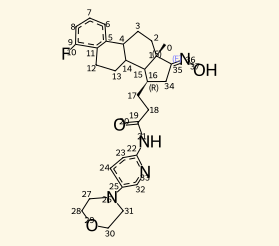 C[C@]12CCC3c4cccc(F)c4CCC3C1[C@H](CCC(=O)Nc1ccc(N3CCOCC3)cn1)C/C2=N\O